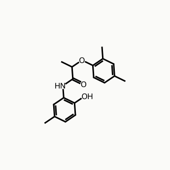 Cc1ccc(OC(C)C(=O)Nc2cc(C)ccc2O)c(C)c1